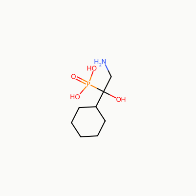 NCC(O)(C1CCCCC1)P(=O)(O)O